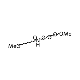 COCCCCCCCCC(=O)NCCOCCOCCOCCOC